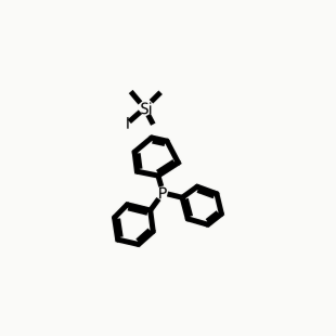 C[Si](C)(C)I.c1ccc(P(c2ccccc2)c2ccccc2)cc1